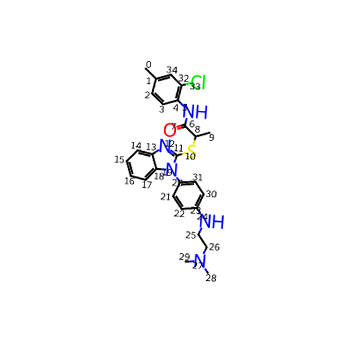 Cc1ccc(NC(=O)C(C)Sc2nc3ccccc3n2-c2ccc(NCCN(C)C)cc2)c(Cl)c1